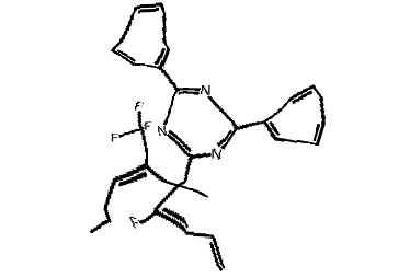 C=C/C=C(/F)C(C)(/C(=C\CC)C(F)(F)F)c1nc(-c2ccccc2)nc(-c2ccccc2)n1